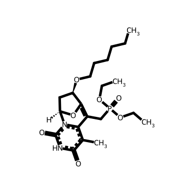 CCCCCCO[C@@H]1C[C@H]2OC1=C(CP(=O)(OCC)OCC)c1c(C)c(=O)[nH]c(=O)n12